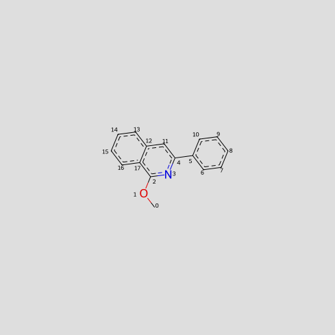 COc1nc(-c2ccccc2)cc2ccccc12